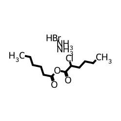 Br.CCCCCC(=O)OC(=O)C(Cl)CCCC.N.N